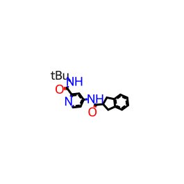 CC(C)(C)NC(=O)c1cc(NC(=O)C2Cc3ccccc3C2)ccn1